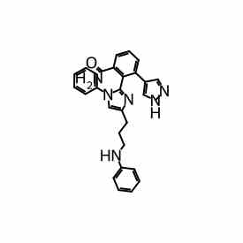 NC(=O)c1cccc(-c2cn[nH]c2)c1-c1nc(CCCNc2ccccc2)cn1-c1ccccc1